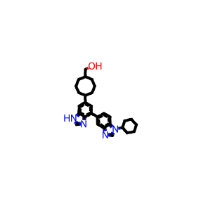 OCC1CCCC(c2cc(-c3ccc4c(c3)ncn4C3CCCCC3)c3nc[nH]c3c2)CCC1